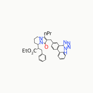 CCCc1c(Cc2ccc(-c3ccccc3)c(-c3nnn[nH]3)c2)c(=O)n2n1CCCC2C(Cc1ccccc1)C(=O)OCC